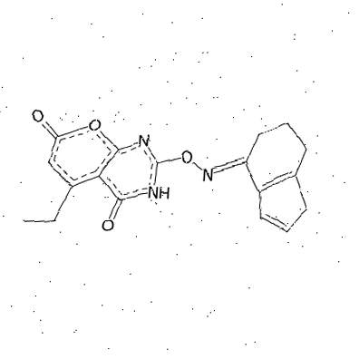 CCc1cc(=O)oc2nc(O/N=C3\CCCC4=C3C=CC4)[nH]c(=O)c12